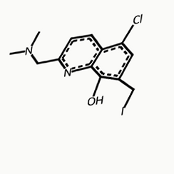 CN(C)Cc1ccc2c(Cl)cc(CI)c(O)c2n1